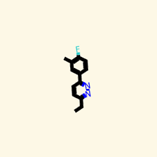 CCc1ccc(-c2ccc(F)c(C)c2)nn1